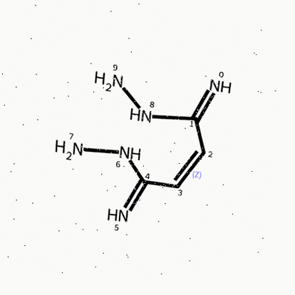 N=C(/C=C\C(=N)NN)NN